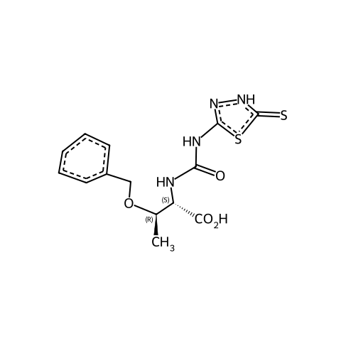 C[C@@H](OCc1ccccc1)[C@H](NC(=O)Nc1n[nH]c(=S)s1)C(=O)O